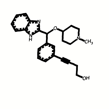 CN1CCC(OC(c2cccc(C#CCCO)c2)c2nc3ccccc3[nH]2)CC1